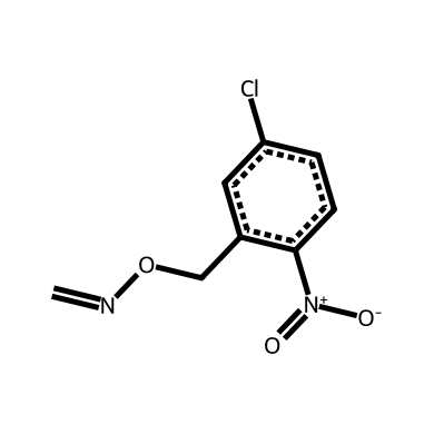 C=NOCc1cc(Cl)ccc1[N+](=O)[O-]